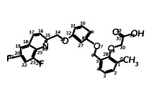 Cc1cccc(COc2cccc(OCc3ccc4cc(F)cc(F)c4n3)c2)c1OCC(=O)O